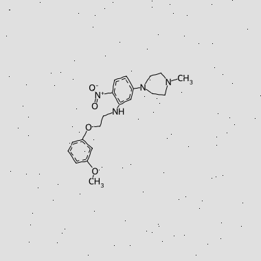 COc1cccc(OCCNc2cc(N3CCN(C)CC3)ccc2[N+](=O)[O-])c1